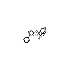 c1ccc(-c2nnc(O[C@@H]3C4CC5C[C@H]3C[N@](C5)C4)s2)cc1